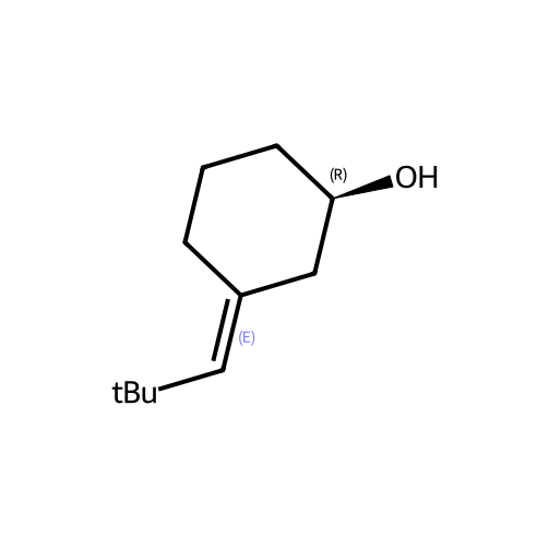 CC(C)(C)/C=C1\CCC[C@@H](O)C1